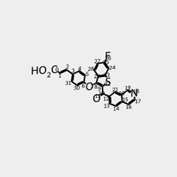 O=C(O)/C=C/c1ccc(Oc2c(C(=O)c3ccc4ccncc4c3)sc3cc(F)ccc23)cc1